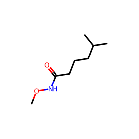 CONC(=O)CCCC(C)C